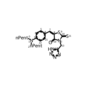 CCCCCN(CCCCC)c1ccc(C=C2SC(=S)N(Cc3nnn[nH]3)C2=O)cc1